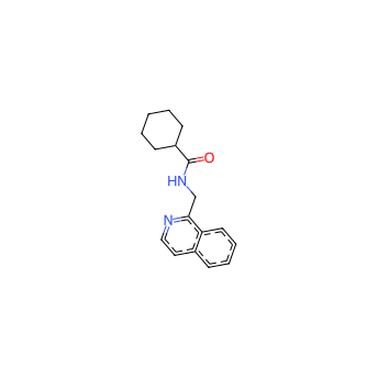 O=C(NCc1nccc2ccccc12)C1CCCCC1